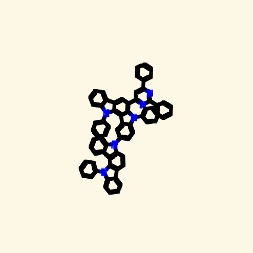 c1ccc(-c2cc(-c3cc4c5ccccc5n(-c5ccccc5)c4c4c5cc(-n6c7ccccc7c7c6ccc6c8ccccc8n(-c8ccccc8)c67)ccc5n(-c5ccccc5)c34)nc(-c3ccccc3)n2)cc1